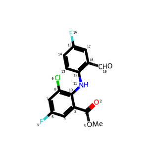 COC(=O)c1cc(F)cc(Cl)c1Nc1ccc(F)cc1C=O